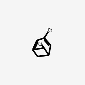 CCC1=CC2CC(=C1)C2Cl